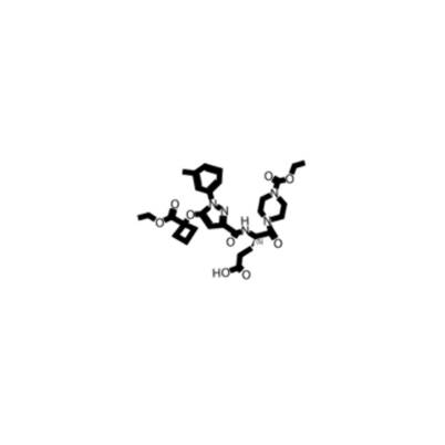 CCOC(=O)N1CCN(C(=O)[C@H](CCC(=O)O)NC(=O)c2cc(OC3(C(=O)OCC)CCC3)n(-c3cccc(C)c3)n2)CC1